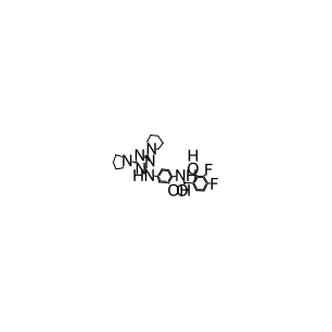 O=C(Nc1ccc(Nc2nc(N3CCCCC3)nc(N3CCCCC3)n2)cc1O)c1ccc(F)c(F)c1O